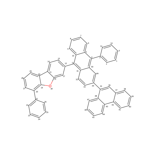 c1ccc(-c2c3ccccc3c(-c3ccc4c(c3)oc3c(-c5ccccc5)cccc34)c3ccc(-c4cc5ccccc5c5ccccc45)cc23)cc1